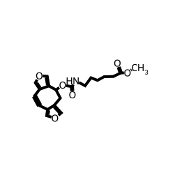 COC(=O)CCCCCNC(=O)OC1Cc2cocc2C#Cc2cocc21